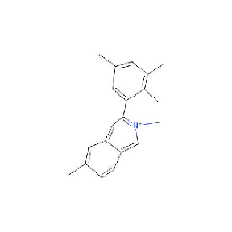 Cc1cc(C)c(C)c(-c2cc3cc(C)ccc3c[n+]2C)c1